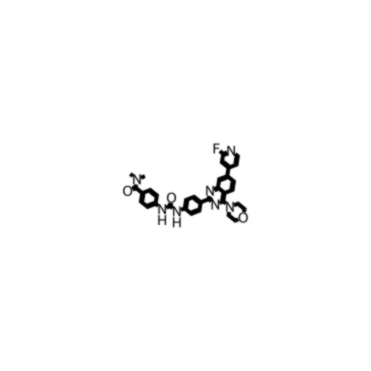 CN(C)C(=O)c1ccc(NC(=O)Nc2ccc(-c3nc(N4CCOCC4)c4ccc(-c5ccnc(F)c5)cc4n3)cc2)cc1